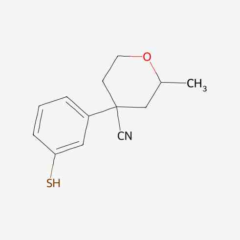 CC1CC(C#N)(c2cccc(S)c2)CCO1